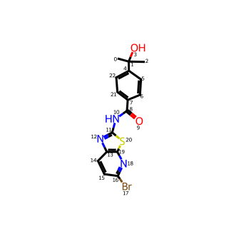 CC(C)(O)c1ccc(C(=O)Nc2nc3ccc(Br)nc3s2)cc1